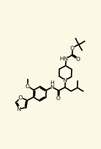 COc1cc(NC(=O)C(CC(C)C)N2CCC(NC(=O)OC(C)(C)C)CC2)ccc1-c1cnco1